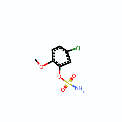 COc1ccc(Cl)cc1OS(N)(=O)=O